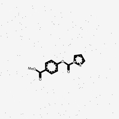 COC(=O)c1ccc(OC(=O)n2cccn2)cc1